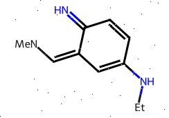 CCNC1=C/C(=C/NC)C(=N)C=C1